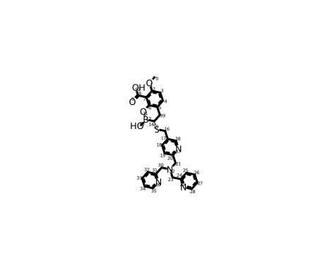 COc1ccc2c(c1C(=O)O)OB(O)[C@@H](SCc1ccc(CN(Cc3ccccn3)Cc3ccccn3)nc1)C2